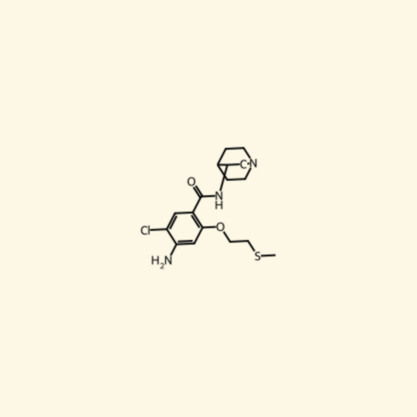 CSCCOc1cc(N)c(Cl)cc1C(=O)NC1CN2CCC1CC2